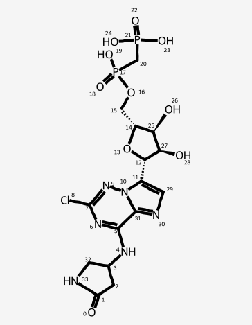 O=C1CC(Nc2nc(Cl)nn3c([C@@H]4O[C@H](COP(=O)(O)CP(=O)(O)O)[C@@H](O)[C@H]4O)cnc23)CN1